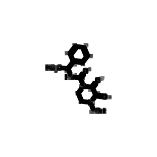 CCCCCCCCN1CCN(C(=O)NC(C(=O)O)c2ccccc2)C(=O)C1=O